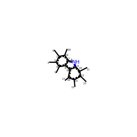 Cc1c(C)c(C)c2c([nH]c3c(C)c(C)c(C)c(C)c32)c1C